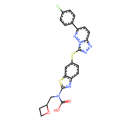 O=C(O)N(CC1CCO1)c1nc2ccc(Sc3nnc4ccc(-c5ccc(F)cc5)nn34)cc2s1